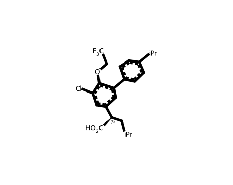 CC(C)C[C@@H](C(=O)O)c1cc(Cl)c(OCC(F)(F)F)c(-c2ccc(C(C)C)cc2)c1